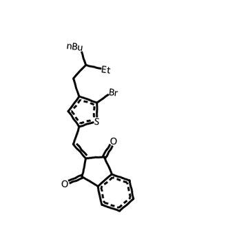 CCCCC(CC)Cc1cc(C=C2C(=O)c3ccccc3C2=O)sc1Br